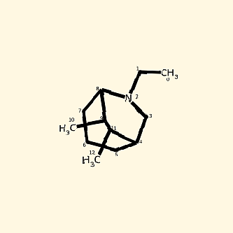 CCN1CC2CCCC1C(C)C2C